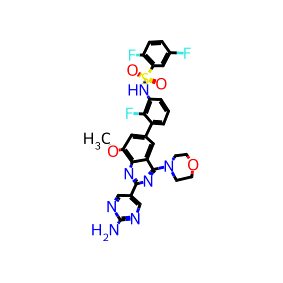 COc1cc(-c2cccc(NS(=O)(=O)c3cc(F)ccc3F)c2F)cc2c(N3CCOCC3)nc(-c3cnc(N)nc3)nc12